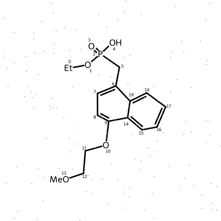 CCOP(=O)(O)Cc1ccc(OCCOC)c2ccccc12